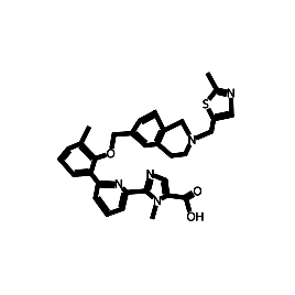 Cc1ncc(CN2CCc3cc(COc4c(C)cccc4-c4cccc(-c5ncc(C(=O)O)n5C)n4)ccc3C2)s1